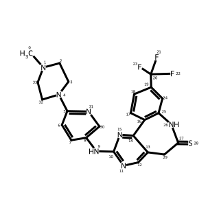 CN1CCN(c2ccc(Nc3ncc4c(n3)-c3ccc(C(F)(F)F)cc3NC(=S)C4)cn2)CC1